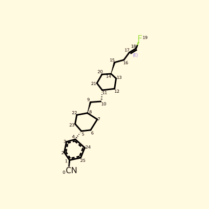 N#Cc1ccc([C@H]2CC[C@H](CC[C@H]3CC[C@H](CC/C=C/F)CC3)CC2)cc1